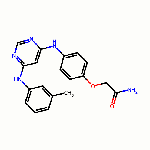 Cc1cccc(Nc2cc(Nc3ccc(OCC(N)=O)cc3)ncn2)c1